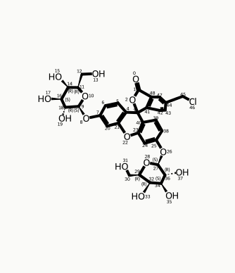 O=C1OC2(c3ccc(O[C@@H]4O[C@H](CO)[C@H](O)[C@H](O)[C@H]4O)cc3Oc3cc(O[C@@H]4O[C@H](CO)[C@H](O)[C@H](O)[C@H]4O)ccc32)c2ccc(CCl)cc21